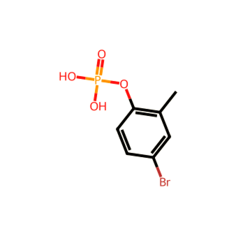 Cc1cc(Br)ccc1OP(=O)(O)O